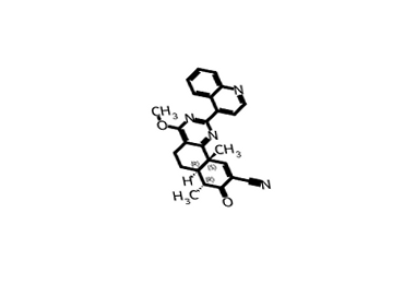 COc1nc(-c2ccnc3ccccc23)nc2c1CC[C@@H]1[C@@H](C)C(=O)C(C#N)=C[C@@]21C